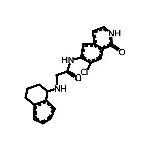 O=C(CNC1CCCc2ccccc21)Nc1cc2cc[nH]c(=O)c2cc1Cl